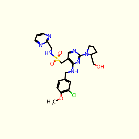 COc1ccc(CNc2nc(N3CCCC3CO)ncc2CS(=O)(=O)NCc2ncccn2)cc1Cl